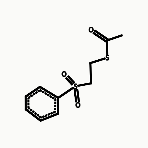 CC(=O)SCCS(=O)(=O)c1ccccc1